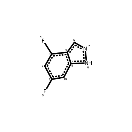 Fc1cc(F)c2cn[nH]c2c1